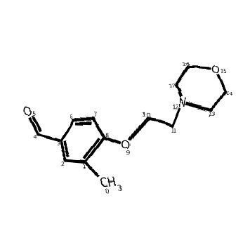 Cc1cc(C=O)ccc1OCCN1CCOCC1